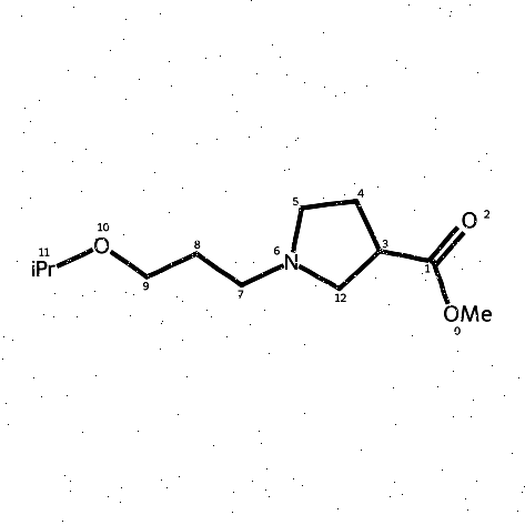 COC(=O)C1CCN(CCCOC(C)C)C1